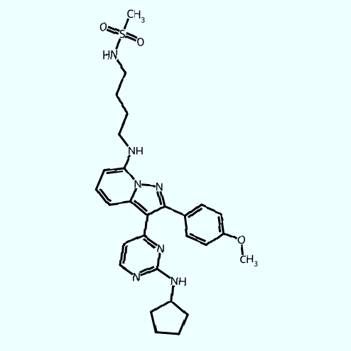 COc1ccc(-c2nn3c(NCCCCNS(C)(=O)=O)cccc3c2-c2ccnc(NC3CCCC3)n2)cc1